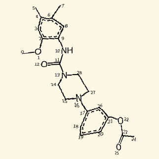 COc1cc(C)c(C)cc1NC(=O)N1CCN(c2cccc(OC(C)=O)c2)CC1